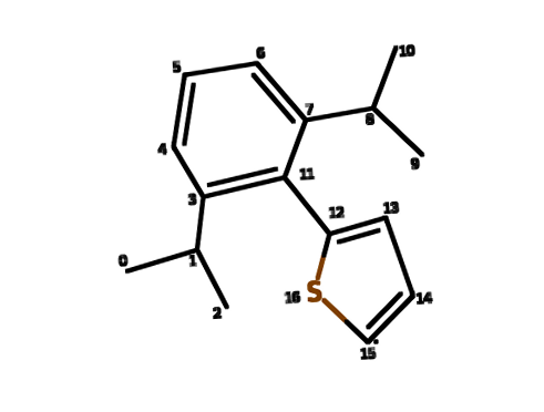 CC(C)c1cccc(C(C)C)c1-c1cc[c]s1